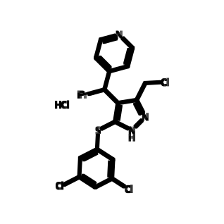 CC(C)C(c1ccncc1)c1c(CCl)n[nH]c1Sc1cc(Cl)cc(Cl)c1.Cl